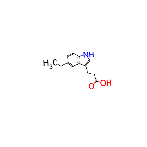 CCc1ccc2[nH]cc(CCC(=O)O)c2c1